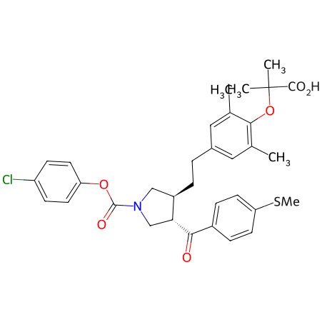 CSc1ccc(C(=O)[C@@H]2CN(C(=O)Oc3ccc(Cl)cc3)C[C@H]2CCc2cc(C)c(OC(C)(C)C(=O)O)c(C)c2)cc1